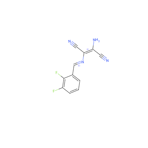 N#C/C(N)=C(C#N)\N=C\c1cccc(F)c1F